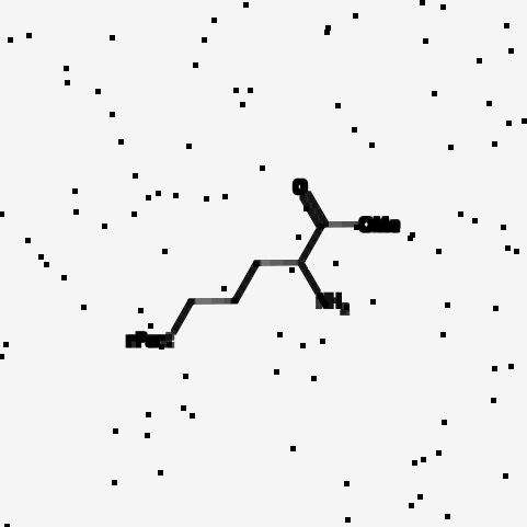 CCCCCCCCC(N)C(=O)OC